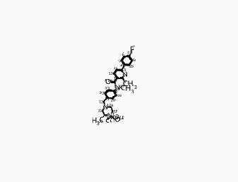 Cc1nc(-c2ccc(F)cc2)ccc1C(=O)N(C)c1ccc(CN2CC[N+](C(=O)[O-])(C(C)(C)C)[C@@H](C)C2)cc1